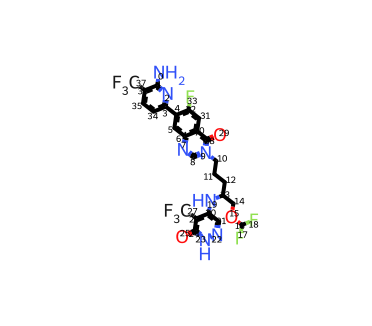 Nc1nc(-c2cc3ncn(CCCC(COC(F)F)Nc4cn[nH]c(=O)c4C(F)(F)F)c(=O)c3cc2F)ccc1C(F)(F)F